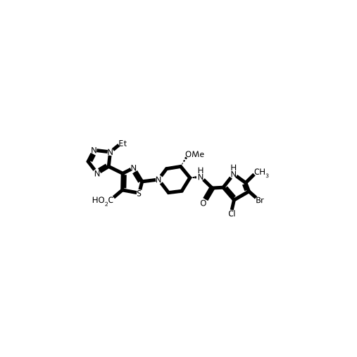 CCn1ncnc1-c1nc(N2CC[C@@H](NC(=O)c3[nH]c(C)c(Br)c3Cl)[C@@H](OC)C2)sc1C(=O)O